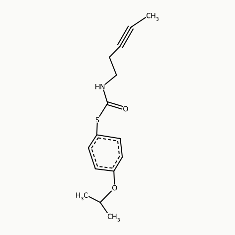 CC#CCCNC(=O)Sc1ccc(OC(C)C)cc1